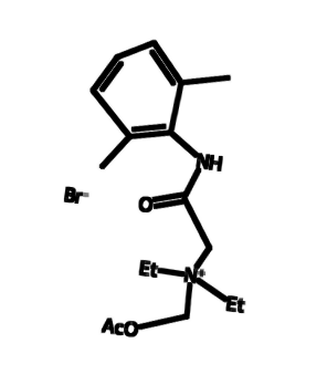 CC[N+](CC)(COC(C)=O)CC(=O)Nc1c(C)cccc1C.[Br-]